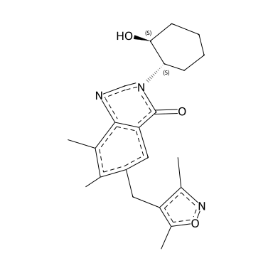 Cc1noc(C)c1Cc1cc2c(=O)n([C@H]3CCCC[C@@H]3O)cnc2c(C)c1C